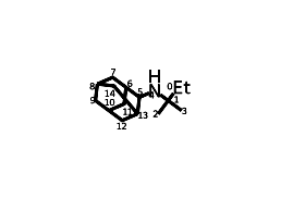 CCC(C)(C)NC1C2CC3CC(C2)CC1C3